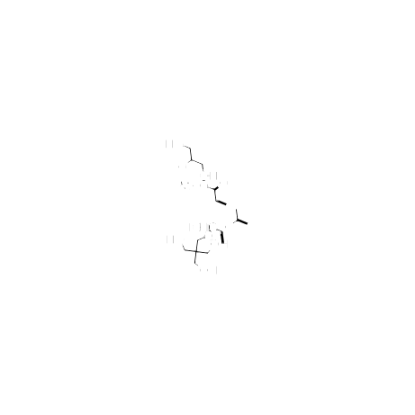 C=C(C)C(=O)O.C=CC(=O)O.C=CC(=O)OC.OCC(CO)(CO)CO.OCC(O)CO